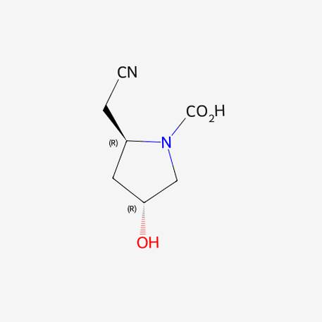 N#CC[C@@H]1C[C@@H](O)CN1C(=O)O